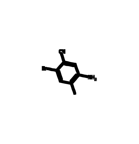 Cc1cc(Br)c(C#N)cc1N